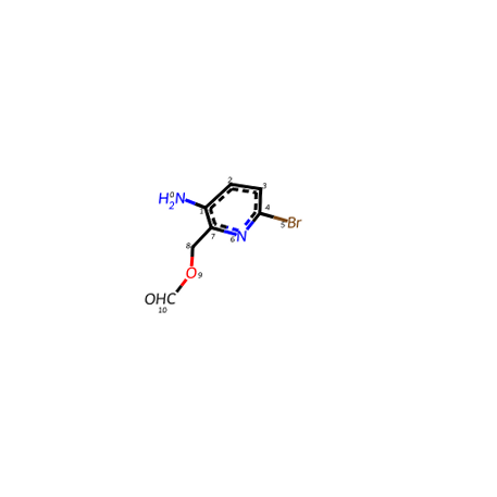 Nc1ccc(Br)nc1COC=O